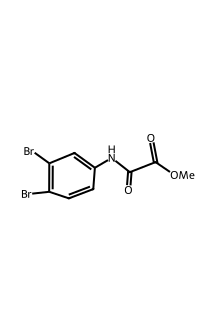 COC(=O)C(=O)Nc1ccc(Br)c(Br)c1